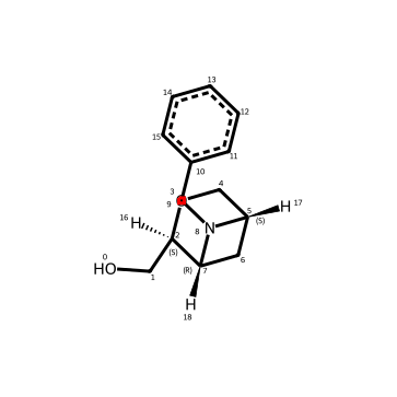 OC[C@H]1OC[C@@H]2C[C@H]1N2Cc1ccccc1